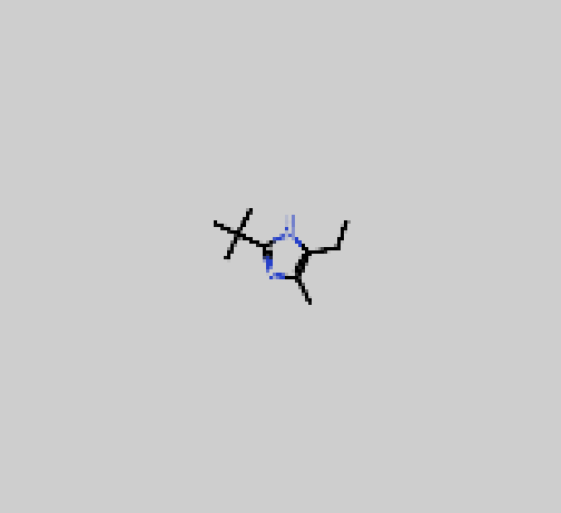 CCc1[nH]c(C(C)(C)C)nc1C